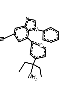 CCC(N)(CC)c1cccc(-c2cc(C#N)cc3ncn(-c4ccccc4)c23)c1